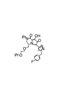 CC(C)OCCOC[C@H]1CN(C(C)C)C(=O)c2c(O)c(=O)c(-c3nnc(Cc4ccc(F)cc4)s3)cn21